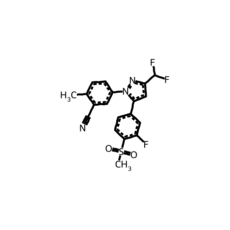 Cc1ccc(-n2nc(C(F)F)cc2-c2ccc(S(C)(=O)=O)c(F)c2)cc1C#N